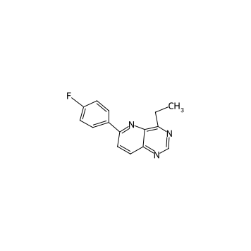 CCc1ncnc2ccc(-c3ccc(F)cc3)nc12